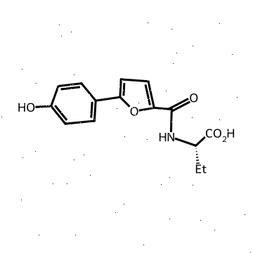 CC[C@H](NC(=O)c1ccc(-c2ccc(O)cc2)o1)C(=O)O